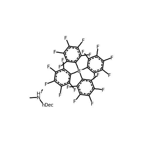 CCCCCCCCCC[NH+](C)C.Fc1c(F)c(F)c([B-](c2c(F)c(F)c(F)c(F)c2F)(c2c(F)c(F)c(F)c(F)c2F)c2c(F)c(F)c(F)c(F)c2F)c(F)c1F